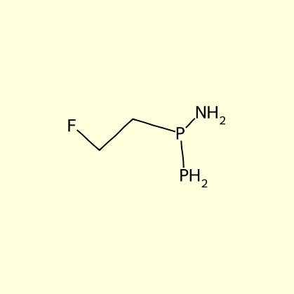 NP(P)CCF